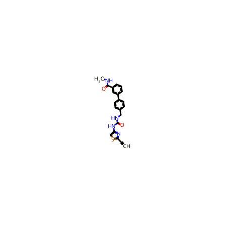 C#Cc1nc(NC(=O)NCc2ccc(-c3cccc(C(=O)NC)c3)cc2)cs1